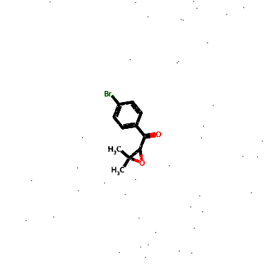 CC1(C)OC1C(=O)c1ccc(Br)cc1